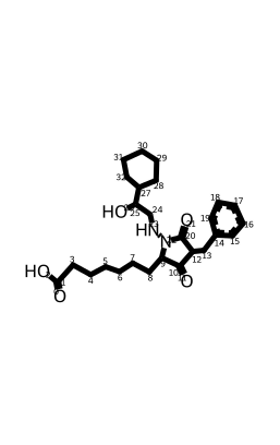 O=C(O)CCCCCCC1C(=O)C(Cc2ccccc2)C(=O)N1NCC(O)C1CCCCC1